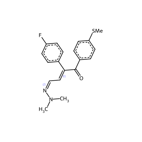 CSc1ccc(C(=O)/C(=C/C=N\N(C)C)c2ccc(F)cc2)cc1